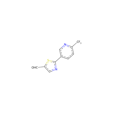 O=Cc1cnc(-c2ccc(C(F)(F)F)nc2)s1